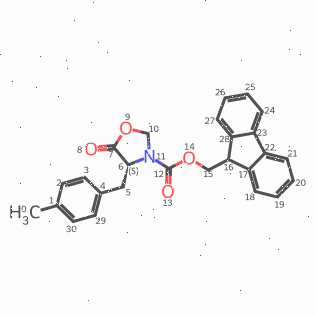 Cc1ccc(C[C@H]2C(=O)OCN2C(=O)OCC2c3ccccc3-c3ccccc32)cc1